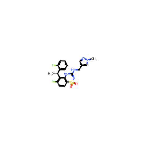 C[C@H](c1ccccc1F)c1c(F)ccc2c1NC(NCc1cnn(C)c1)=NS2(=O)=O